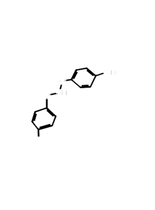 [SiH3]c1ccc(OBOc2ccc([SiH3])cc2)cc1